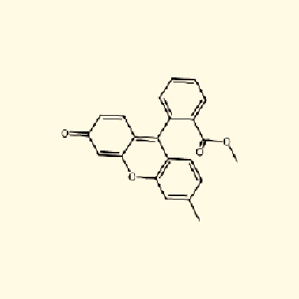 COC(=O)c1ccccc1-c1c2ccc(=O)cc-2oc2cc(C)ccc12